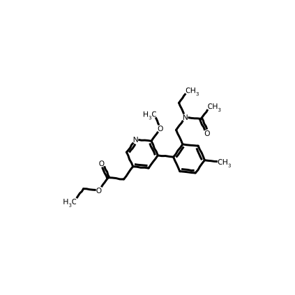 CCOC(=O)Cc1cnc(OC)c(-c2ccc(C)cc2CN(CC)C(C)=O)c1